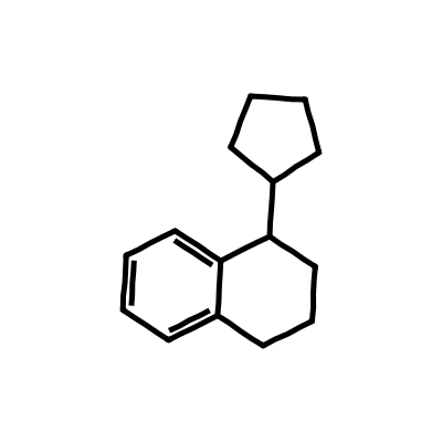 c1ccc2c(c1)CCCC2C1CCCC1